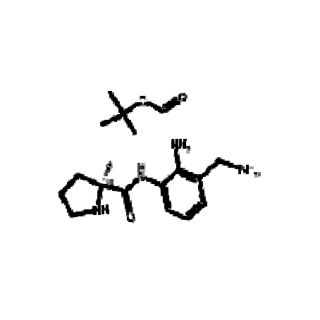 CC(C)(C)OC=O.C[C@@]1(C(=O)Nc2cccc(CN)c2N)CCCN1